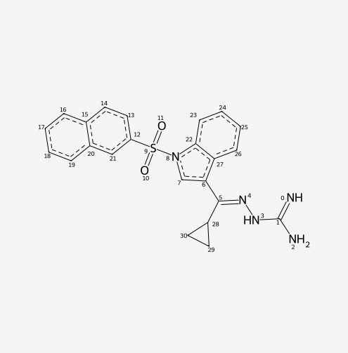 N=C(N)NN=C(c1cn(S(=O)(=O)c2ccc3ccccc3c2)c2ccccc12)C1CC1